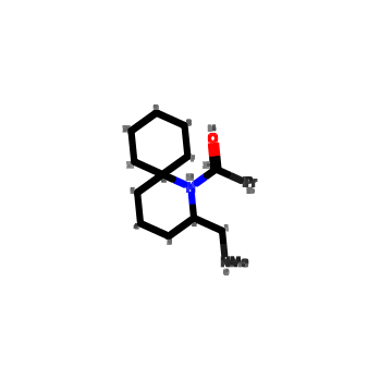 CNCC1CCCC2(CCCCC2)N1C(=O)C(C)C